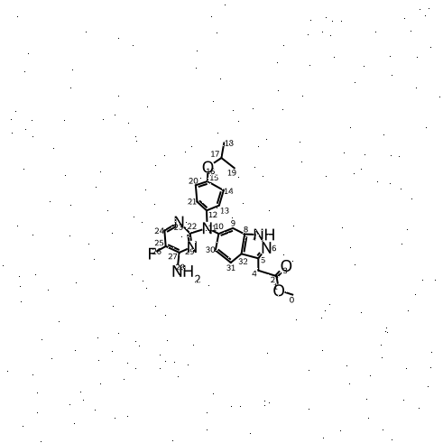 COC(=O)Cc1n[nH]c2cc(N(c3ccc(OC(C)C)cc3)c3ncc(F)c(N)n3)ccc12